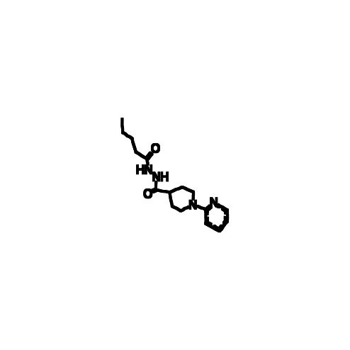 CCCCC(=O)NNC(=O)C1CCN(c2ccccn2)CC1